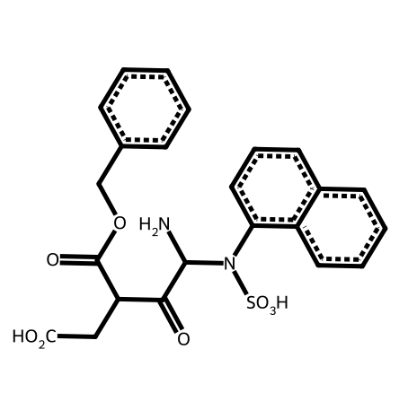 NC(C(=O)C(CC(=O)O)C(=O)OCc1ccccc1)N(c1cccc2ccccc12)S(=O)(=O)O